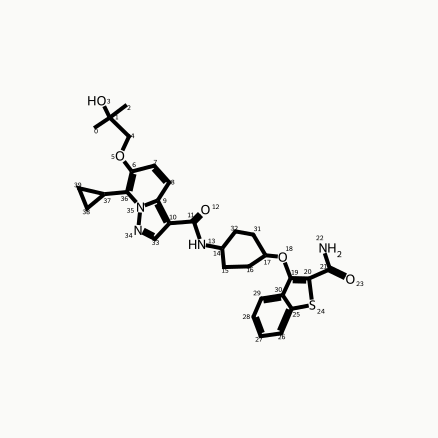 CC(C)(O)COc1ccc2c(C(=O)NC3CCC(Oc4c(C(N)=O)sc5ccccc45)CC3)cnn2c1C1CC1